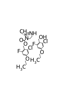 CCCOc1cc(F)c(CO)c(Cl)c1.CCCOc1cc(F)c(COC(=O)N2CCNC[C@H]2CC)c(Cl)c1